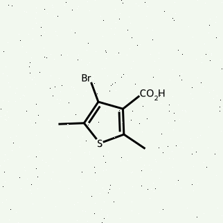 Cc1sc(C)c(C(=O)O)c1Br